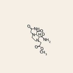 COC(=O)CN1CCN2CC(=O)NC(=O)[C@H]2[C@H]1C(N)=O